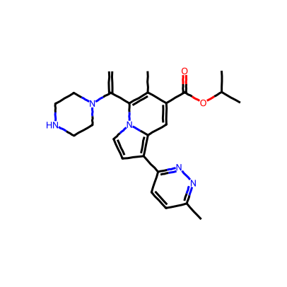 C=C(c1c(C)c(C(=O)OC(C)C)cc2c(-c3ccc(C)nn3)ccn12)N1CCNCC1